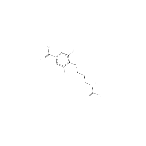 COc1cc(C(N)=O)cc([N+](=O)[O-])c1NCCCOC(N)=O